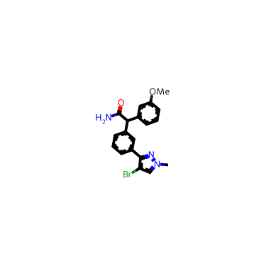 COc1cccc(C(C(N)=O)c2cccc(-c3nn(C)cc3Br)c2)c1